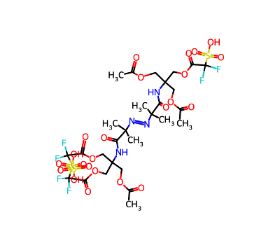 CC(=O)OCC(COC(C)=O)(COC(=O)C(F)(F)S(=O)(=O)O)NC(=O)C(C)(C)N=NC(C)(C)C(=O)NC(COC(C)=O)(COC(=O)C(F)(F)S(=O)(=O)O)COC(=O)C(F)(F)S(=O)(=O)O